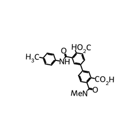 CNC(=O)c1ccc(-c2ccc(C(=O)O)c(C(=O)Nc3ccc(C)cc3)c2)cc1C(=O)O